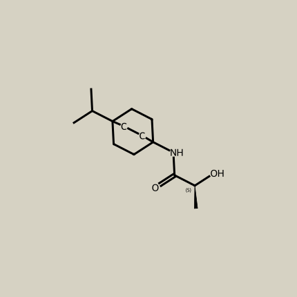 CC(C)C12CCC(NC(=O)[C@H](C)O)(CC1)CC2